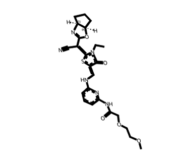 CCn1c(=C(C#N)C2=N[C@H]3CCC[C@H]3O2)sc(=CNc2cccc(NC(=O)COCCOC)n2)c1=O